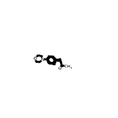 CC(=O)Cc1ccc(N2CCOCC2)cc1